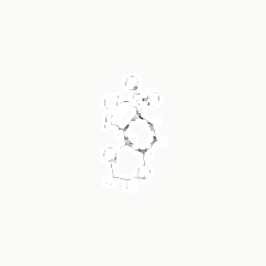 O=S(=O)(Cl)c1ccc2c(c1F)OCCO2